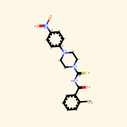 Cc1ccccc1C(=O)NC(=S)N1CCN(c2ccc([N+](=O)[O-])cc2)CC1